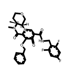 CN1C(=O)c2c(OCc3ccccc3)c(=O)c(C(=O)NCc3c(F)cc(F)cc3F)cn2[C@H]2COCC[C@]21C